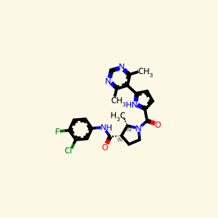 Cc1ncnc(C)c1-c1ccc(C(=O)N2CC[C@H](C(=O)Nc3ccc(F)c(Cl)c3)[C@@H]2C)[nH]1